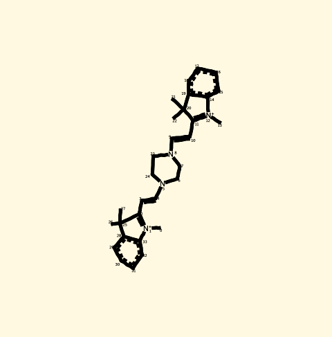 C[N+]1=C(C=CN2CCN(C=CC3=[N+](C)c4ccccc4C3(C)C)CC2)C(C)(C)c2ccccc21